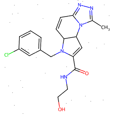 Cc1nnc2n1C1C=C(C(=O)NCCO)N(Cc3cccc(Cl)c3)C1C=C2